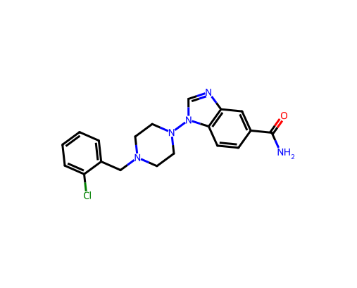 NC(=O)c1ccc2c(c1)ncn2N1CCN(Cc2ccccc2Cl)CC1